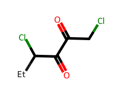 CCC(Cl)C(=O)C(=O)CCl